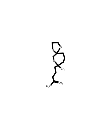 C=C(C)CCCC1(C)CCCC2(CO1)OCCO2